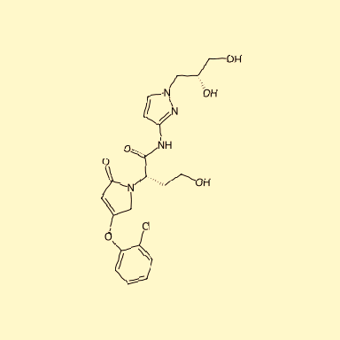 O=C(Nc1ccn(C[C@@H](O)CO)n1)[C@H](CCO)N1CC(Oc2ccccc2Cl)=CC1=O